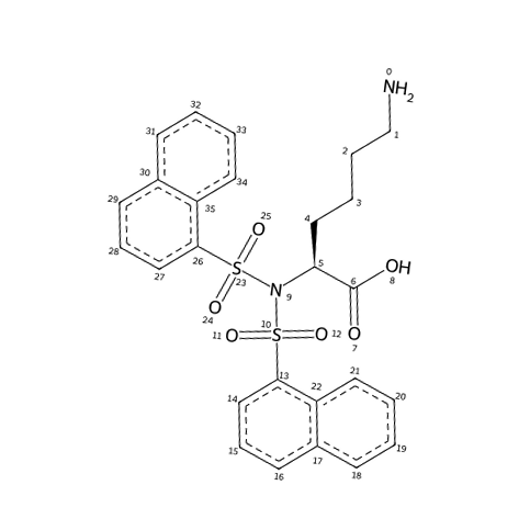 NCCCC[C@@H](C(=O)O)N(S(=O)(=O)c1cccc2ccccc12)S(=O)(=O)c1cccc2ccccc12